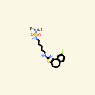 CCN(CC)S(=O)(=O)NCCCCCNc1nc2c(s1)CCCc1ccc(F)cc1-2